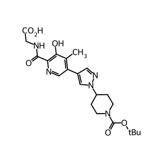 Cc1c(-c2cnn(C3CCN(C(=O)OC(C)(C)C)CC3)c2)cnc(C(=O)NCC(=O)O)c1O